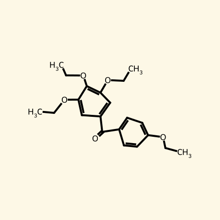 CCOc1ccc(C(=O)c2cc(OCC)c(OCC)c(OCC)c2)cc1